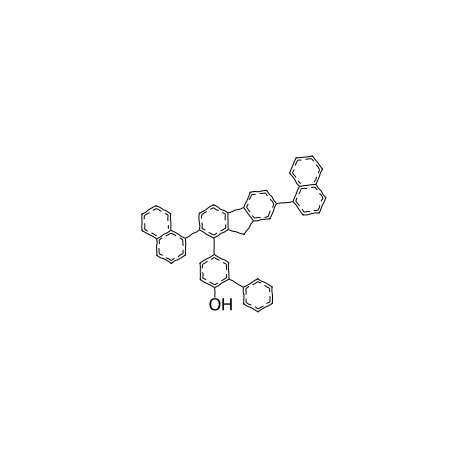 Oc1ccc(-c2c(-c3cccc4ccccc34)ccc3c2Cc2cc(-c4cccc5ccccc45)ccc2-3)cc1-c1ccccc1